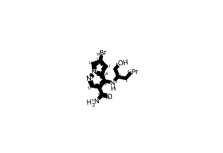 CC(C)CC(CO)Nc1c(C(N)=O)cnn2cc(Br)cc12